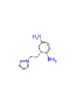 Nc1ccc(N)c(CCn2cccc2)c1